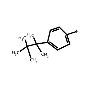 CC(C)(C)C(C)(C)c1ccc(F)cc1